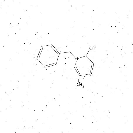 CC1=CN(Cc2ccccc2)C(O)C=C1